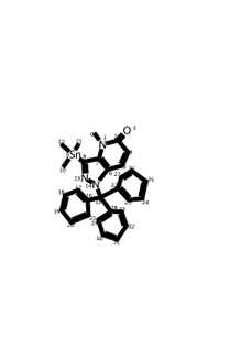 Cn1c(=O)ccc2c1[c]([Sn]([CH3])([CH3])[CH3])nn2C(c1ccccc1)(c1ccccc1)c1ccccc1